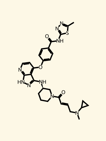 Cc1nnc(NC(=O)c2ccc(Oc3ccnc4[nH]nc(N[C@@H]5CCCN(C(=O)/C=C/CN(C)C6CC6)C5)c34)cc2)s1